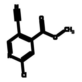 COC(=O)c1cc(Cl)ncc1C#N